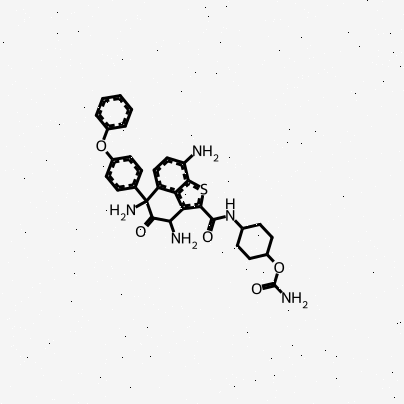 NC(=O)OC1CCC(NC(=O)c2sc3c(N)ccc4c3c2C(N)C(=O)C4(N)c2ccc(Oc3ccccc3)cc2)CC1